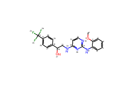 COc1ccccc1Nc1nccc(NCC(O)c2ccc(C(F)(F)F)cc2)n1